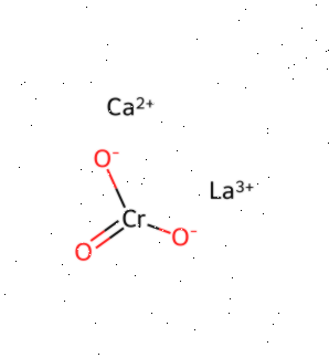 [Ca+2].[La+3].[O]=[Cr]([O-])[O-]